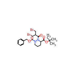 CC(C)(C)OC(=O)C1CCCN(C(=O)OCc2ccccc2)N1C(=O)C(CBr)CBr